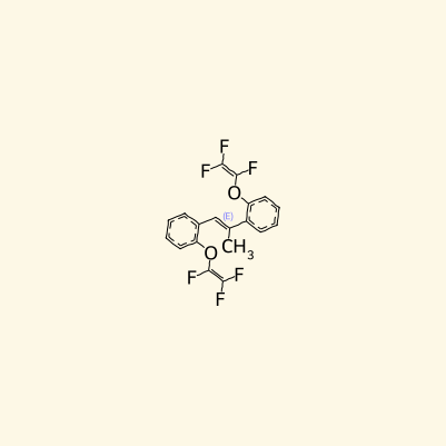 C/C(=C\c1ccccc1OC(F)=C(F)F)c1ccccc1OC(F)=C(F)F